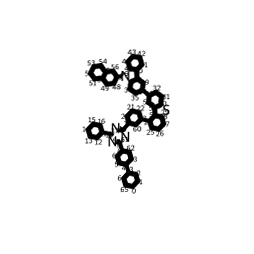 c1ccc(-c2ccc(-c3nc(-c4ccccc4)nc(-c4cccc(-c5cccc6sc7ccc(-c8ccc9c(c8)c8ccccc8n9-c8ccc9ccccc9c8)cc7c56)c4)n3)cc2)cc1